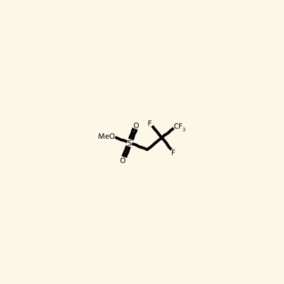 COS(=O)(=O)CC(F)(F)C(F)(F)F